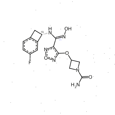 NC(=O)N1CC(Oc2nonc2/C(=N/O)N[C@H]2Cc3ccc(F)cc32)C1